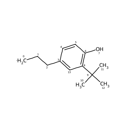 [CH2]CCc1ccc(O)c(C(C)(C)C)c1